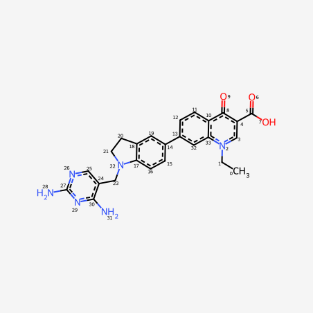 CCn1cc(C(=O)O)c(=O)c2ccc(-c3ccc4c(c3)CCN4Cc3cnc(N)nc3N)cc21